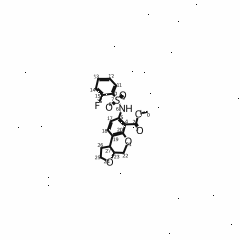 COC(=O)c1c(NS(=O)(=O)c2ccccc2F)ccc2c1OCC1OCCC21